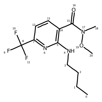 CCCCNc1nc(C(F)(F)F)ccc1C(=O)N(C)OC